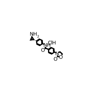 Cl.N[C@@H]1C[C@H]1c1ccc(NC(=O)c2ccc(N3CCOC3=O)cc2)cc1